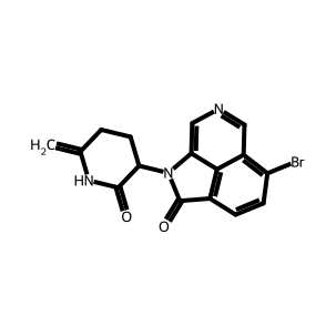 C=C1CCC(N2C(=O)c3ccc(Br)c4cncc2c34)C(=O)N1